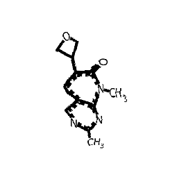 Cc1ncc2cc(C3COC3)c(=O)n(C)c2n1